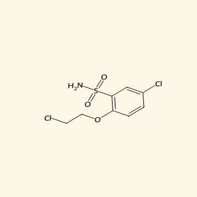 NS(=O)(=O)c1cc(Cl)ccc1OCCCl